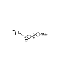 C=CC(=O)OCCCCOc1ccc(C(=O)Oc2ccc(NC)cc2)cc1Cl